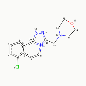 Clc1cccc2c1ccn1c(CN3CCOCC3)nnc21